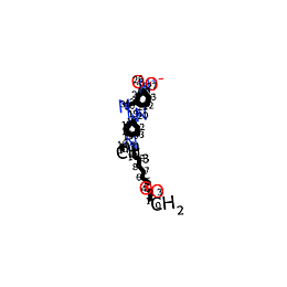 C=CC(=O)OCCCCCCCN(CC)c1ccc(N=Nc2ccc([N+](=O)[O-])cc2C#N)cc1